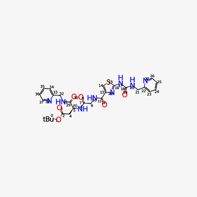 CC(C)(C)OC(=O)C[C@H](NC(=O)CNC(=O)c1csc(NC(=O)NCc2ccccn2)n1)C(=O)NCc1ccccn1